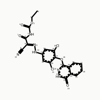 CCOC(=O)NC(=O)/C(C#N)=N/Nc1cc(Cl)c(Oc2n[nH]c(=O)c3ccccc23)c(Cl)c1